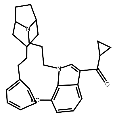 O=C(c1cn(CCCN2C3CCC2CC(CCc2ccccc2)C3)c2c(O)cccc12)C1CC1